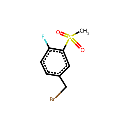 CS(=O)(=O)c1cc(CBr)ccc1F